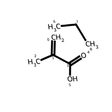 C=C(C)C(=O)O.CCC